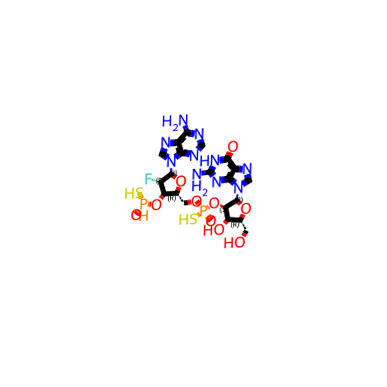 Nc1nc2c(ncn2[C@@H]2O[C@H](CO)C(O)[C@@H]2OP(=O)(S)OC[C@H]2O[C@@H](n3cnc4c(N)ncnc43)[C@@H](F)C2O[PH](=O)S)c(=O)[nH]1